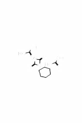 C1CCCCC1.O=C(O)O.O=C(O)O.O=C1OC(=O)O1